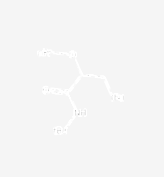 CCCOC(CC(C)(C)C)C(=O)NC(C)(C)C